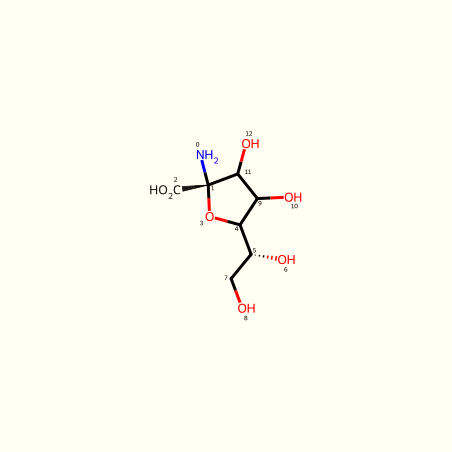 N[C@@]1(C(=O)O)OC([C@H](O)CO)C(O)C1O